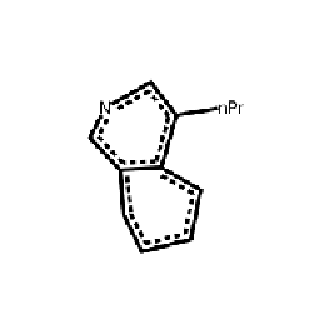 [CH2]CCc1cncc2ccccc12